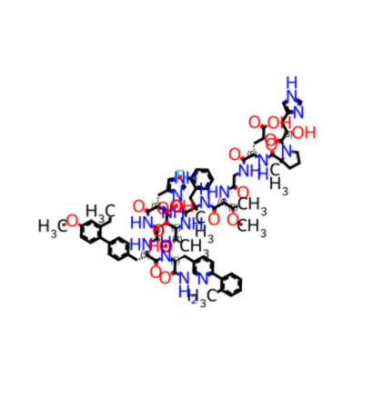 CCc1cc(OC)ccc1-c1ccc(C[C@H](NC(=O)[C@H](CC(=O)O)NC(=O)[C@H](Cc2c[nH]cn2)NC(=O)[C@@H](NC(=O)C(C)(Cc2ccccc2F)NC(=O)[C@@H](NC(=O)CNC(=O)[C@H](CCC(=O)O)NC(=O)C2(C)CCCN2C(=O)[C@@H](O)Cc2c[nH]cn2)[C@@H](C)OC)[C@@H](C)O)C(=O)N[C@@H](Cc2ccc(-c3ccccc3C)nc2)C(N)=O)cc1